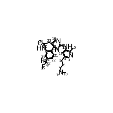 Cc1ncc(CCCN(C)C)cc1Nc1ncc2c(n1)-c1ccc(C(F)(F)F)cc1NC(=O)C2